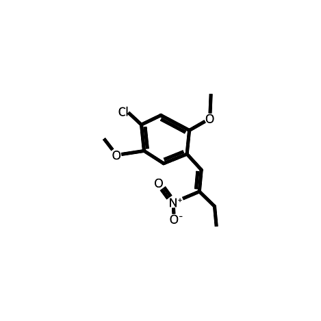 CCC(=Cc1cc(OC)c(Cl)cc1OC)[N+](=O)[O-]